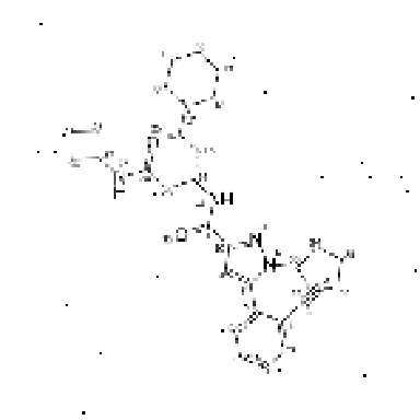 C#Cc1ccccc1-c1cc(C(=O)N[C@@H](CCN2CCCCC2)CC(=O)NC2CCC2)nn1C1CCCC1